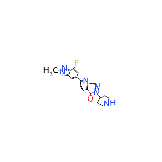 Cn1cc2cc(-c3ccc4c(=O)n(C5CCNCC5)ncc4n3)cc(F)c2n1